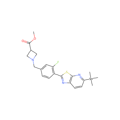 COC(=O)C1CN(Cc2ccc(-c3nc4cc[c]([Sn]([CH3])([CH3])[CH3])nc4s3)c(F)c2)C1